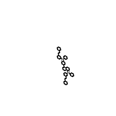 C(=Cc1cccc(N(c2ccccc2)c2ccc(-c3cccc4c(N(c5ccccc5)c5cccc(C=Cc6ccccc6)c5)cccc34)cc2)c1)c1ccccc1